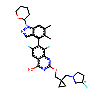 Cc1cc2c(cnn2C2CCCCO2)c(-c2c(F)cc3c(O)nc(OCC4(CN5CC[C@@H](F)C5)CC4)nc3c2F)c1C